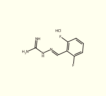 Cl.N=C(N)NN=Cc1c(F)cccc1F